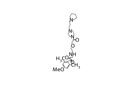 COc1cc(C)c(S(=O)(=O)CNCCOCC(=O)N2CCN(CCCN3CCCCC3)CC2)c(C)c1